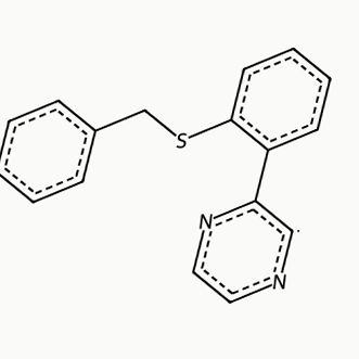 [c]1nccnc1-c1ccccc1SCc1ccccc1